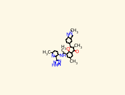 Cc1cc([C@@H](C)Nc2ccc(C)nc2-c2nn[nH]n2)c2oc(-c3ccc4nn(C)cc4c3)c(C)c(=O)c2c1